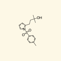 Cc1ccc(S(=O)(=O)n2cccc2CCC(C)(C)O)cc1